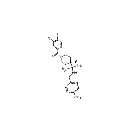 BC(B)(NCc1ccc(C)cn1)C1(F)CCN(C(=O)c2ccc(F)c(Cl)c2)CC1